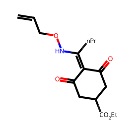 C=CCONC(CCC)=C1C(=O)CC(C(=O)OCC)CC1=O